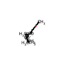 CCCCCCCCCCCCCC(=O)OC[C@H](COP(=O)([O-])OCC[N+](C)(C)C)OC(C)=O